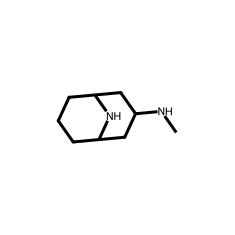 CNC1CC2CCCC(C1)N2